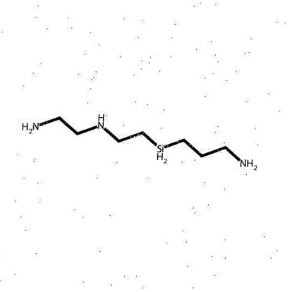 NCCC[SiH2]CCNCCN